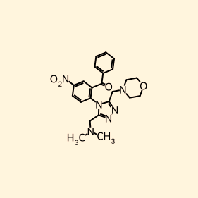 CN(C)Cc1nnc(CN2CCOCC2)n1-c1ccc([N+](=O)[O-])cc1C(=O)c1ccccc1